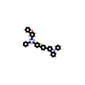 c1ccc(-c2nc(-c3ccc4c(c3)sc3cc(-c5ccc6c(c5)c5ccccc5n6-c5ccccc5)ccc34)nc(-c3ccc4oc5ccccc5c4c3)n2)cc1